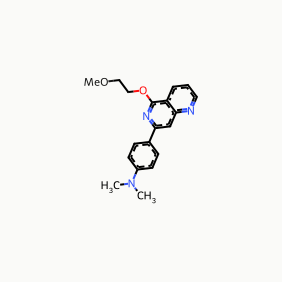 COCCOc1nc(-c2ccc(N(C)C)cc2)cc2ncccc12